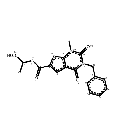 CC(NC(=O)c1cc2c(=O)n(Cc3ccccc3)c(=O)n(C)c2s1)C(=O)O